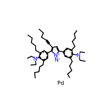 CCCC#CC1=C(c2cc(CCCCC)c(N(CC)CC)c(CCCCC)c2)[N+](=[N-])C(c2cc(CCCCC)c(N(CC)CC)c(CCCCC)c2)=C1.[Pd]